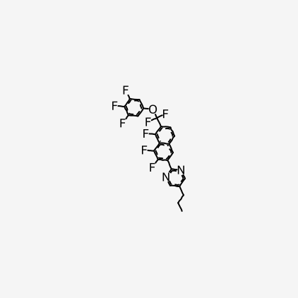 CCCc1cnc(-c2cc3ccc(C(F)(F)Oc4cc(F)c(F)c(F)c4)c(F)c3c(F)c2F)nc1